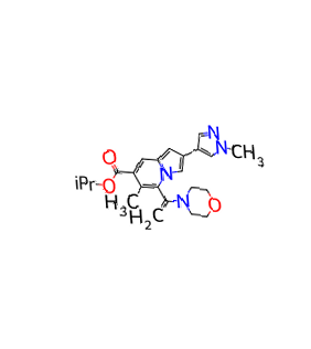 C=C(c1c(C)c(C(=O)OC(C)C)cc2cc(-c3cnn(C)c3)cn12)N1CCOCC1